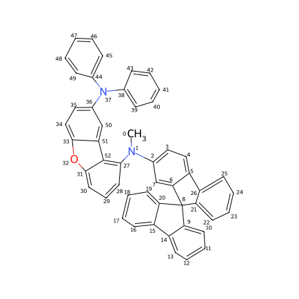 CN(c1ccc2c(c1)C1(c3ccccc3-c3ccccc31)c1ccccc1-2)c1cccc2oc3ccc(N(c4ccccc4)c4ccccc4)cc3c12